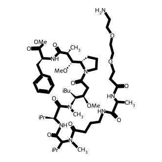 CC[C@H](C)[C@@H]([C@@H](CC(=O)N1CCC[C@H]1[C@H](OC)[C@@H](C)C(=O)N[C@@H](Cc1ccccc1)C(=O)OC)OC)N(C)C(=O)[C@@H](NC(=O)C(C(C)C)N(C)C(=O)CCCNC(=O)C(C)NC(=O)CCOCCOCCN)C(C)C